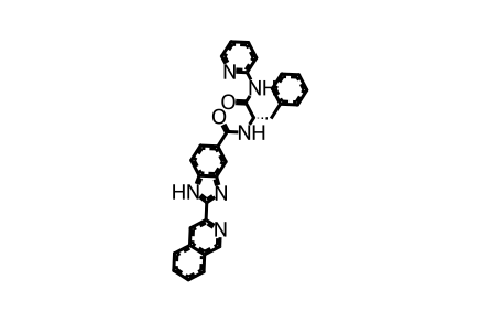 O=C(N[C@@H](Cc1ccccc1)C(=O)Nc1ccccn1)c1ccc2[nH]c(-c3cc4ccccc4cn3)nc2c1